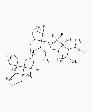 CCC(CC)C(CCC(C)C(C)(C(C(C)C)C(C)C)C(F)(F)F)(C(CC)CCCC(C(F)(F)F)(C(C)(CC)CC)C(C)(CC)CC)C(F)(F)F